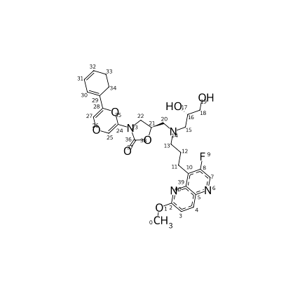 COc1ccc2ncc(F)c(CCCN(C[C@H](O)CO)C[C@@H]3CN(C4=COC=C(C5=CC=CCC5)O4)C(=O)O3)c2n1